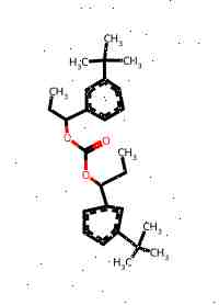 CCC(OC(=O)OC(CC)c1cccc(C(C)(C)C)c1)c1cccc(C(C)(C)C)c1